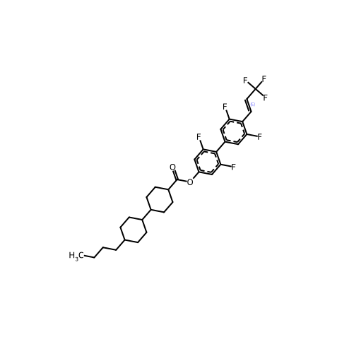 CCCCC1CCC(C2CCC(C(=O)Oc3cc(F)c(-c4cc(F)c(/C=C/C(F)(F)F)c(F)c4)c(F)c3)CC2)CC1